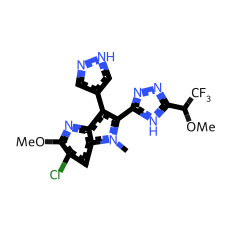 COc1nc2c(-c3cn[nH]c3)c(-c3nnc(C(OC)C(F)(F)F)[nH]3)n(C)c2cc1Cl